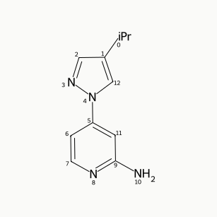 CC(C)c1cnn(-c2ccnc(N)c2)c1